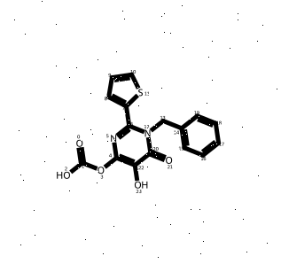 O=C(O)Oc1nc(-c2cccs2)n(Cc2ccccc2)c(=O)c1O